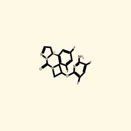 Nc1nc(OC2CN(C(=O)N3N=CC[C@H]3c3cc(F)cc(F)c3)C2)c(F)cc1F